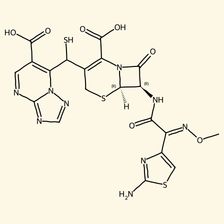 CON=C(C(=O)N[C@@H]1C(=O)N2C(C(=O)O)=C(C(S)c3c(C(=O)O)cnc4ncnn34)CS[C@H]12)c1csc(N)n1